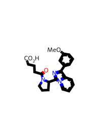 COc1cccc(-c2nc(C3CCCN3C(=O)CCCC(=O)O)n3ccccc23)c1